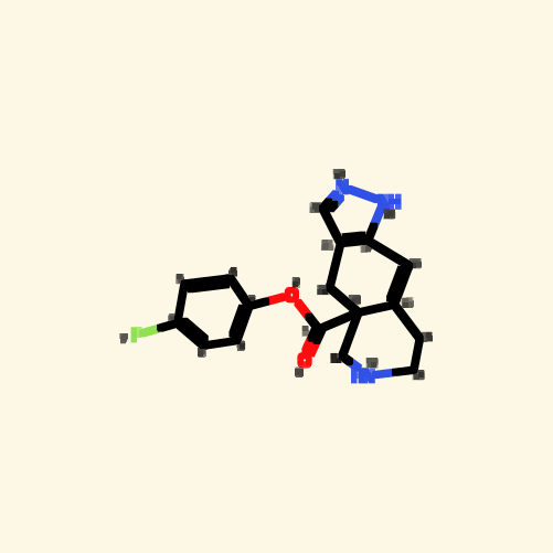 O=C(Oc1ccc(F)cc1)C12CNCCC1=Cc1[nH]ncc1C2